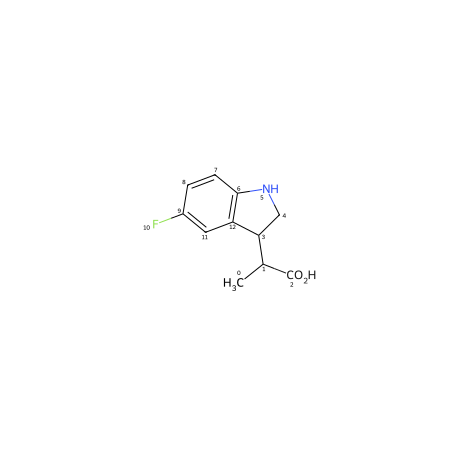 CC(C(=O)O)C1CNc2ccc(F)cc21